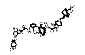 Cc1c(NC(=O)c2nc3c(n2C)CCN(C2CCC(O)CC2)C3)cccc1-c1cccc(NC(=O)c2nc3c([nH]2)CCN(CCC24CCC(C(=O)O)(CC2)C4)C3)c1Cl